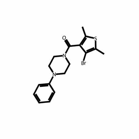 Cc1sc(C)c(C(=O)N2CCN(c3ccccc3)CC2)c1Br